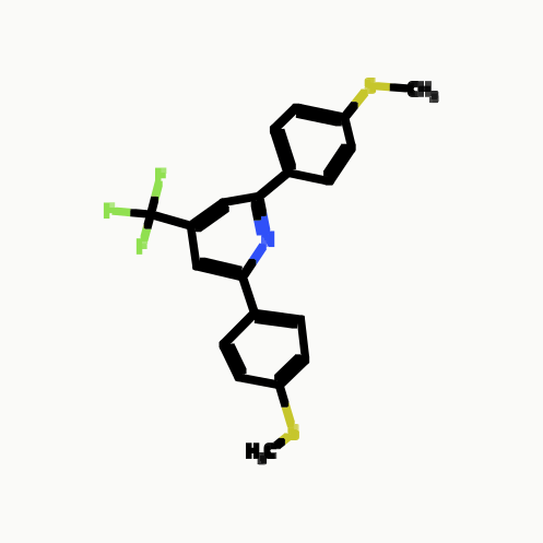 CSc1ccc(-c2cc(C(F)(F)F)cc(-c3ccc(SC)cc3)n2)cc1